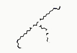 CCCCC/C=C\C/C=C\CCCCCCCC(=O)OCC(COC(=O)CCCCCCC/C=C\C/C=C\CCCCC)OC(=O)CC[C@@H](CCCCCCCC)OC(=O)NCCN(C)CC